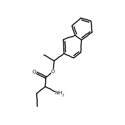 CCC(N)C(=O)OC(C)c1ccc2ccccc2c1